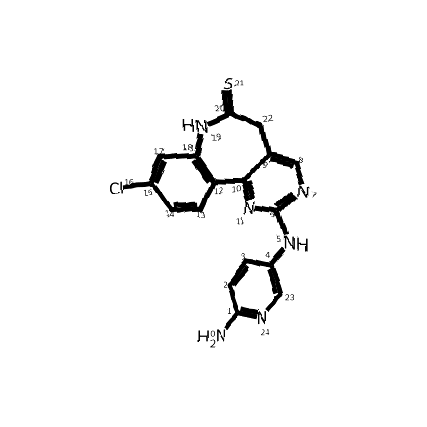 Nc1ccc(Nc2ncc3c(n2)-c2ccc(Cl)cc2NC(=S)C3)cn1